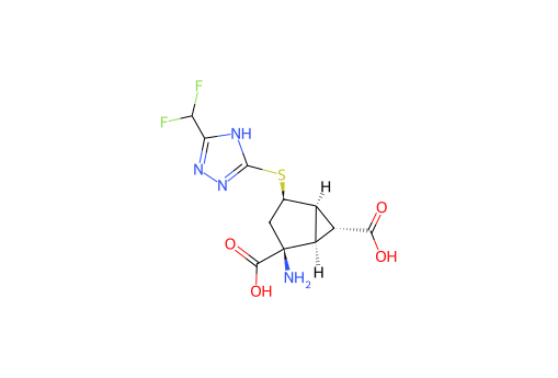 N[C@@]1(C(=O)O)C[C@@H](Sc2nnc(C(F)F)[nH]2)[C@H]2[C@H](C(=O)O)[C@H]21